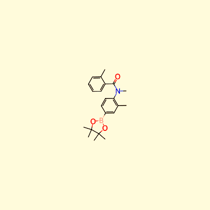 Cc1ccccc1C(=O)N(C)c1ccc(B2OC(C)(C)C(C)(C)O2)cc1C